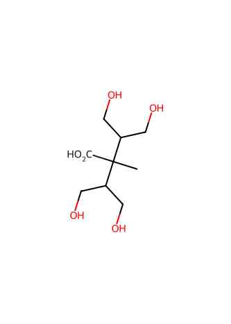 CC(C(=O)O)(C(CO)CO)C(CO)CO